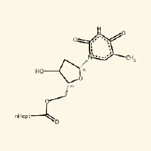 CCCCCCCC(=O)OC[C@H]1O[C@@H](n2cc(C)c(=O)[nH]c2=O)CC1O